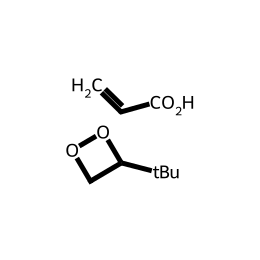 C=CC(=O)O.CC(C)(C)C1COO1